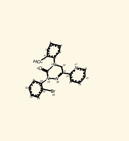 O=C1N(c2ccccc2O)CC(c2ccccn2)=NN1c1ccccc1Br